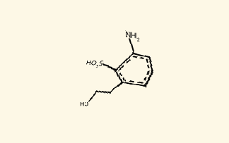 Nc1cccc(CCO)c1S(=O)(=O)O